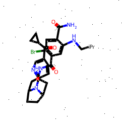 CC(C)CNc1cc(C(=O)NC2CC3CCC(C2)N3c2ccc(C(=O)C3CC3)cn2)c(Br)cc1C(N)=O